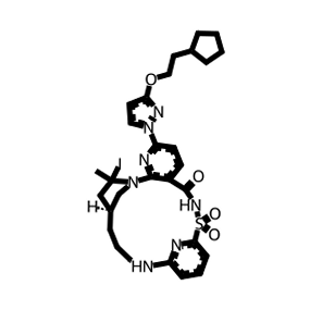 CC1(I)C[C@@H]2CCCNc3cccc(n3)S(=O)(=O)NC(=O)c3ccc(-n4ccc(OCCC5CCCC5)n4)nc3N1C2